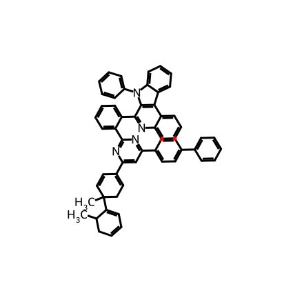 CC1CC=CC=C1C1(C)C=CC(c2cc(-c3ccc(-c4ccccc4)cc3)nc(-c3ccccc3-c3nc4ccccc4c4c5ccccc5n(-c5ccccc5)c34)n2)=CC1